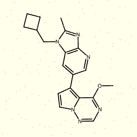 COc1ncnn2ccc(-c3cnc4nc(C)n(CC5CCC5)c4c3)c12